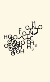 CC1(C)[C@H](n2ccc(=O)[nH]c2=O)O[C@](CF)(COP(=O)(O)OP(=O)(O)OP(=O)(O)O)[C@H]1O